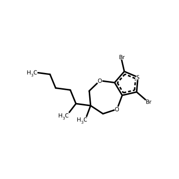 CCCCC(C)C1(C)COc2c(Br)sc(Br)c2OC1